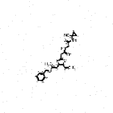 C=Cc1sc(CC(=O)NCC(=O)NC2(C#N)CC2)nc1/C=C(\C)OCc1ccccc1